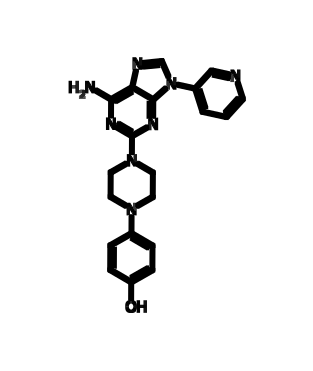 Nc1nc(N2CCN(c3ccc(O)cc3)CC2)nc2c1ncn2-c1cccnc1